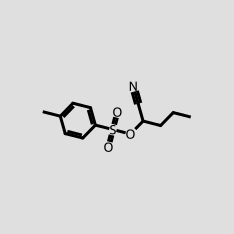 CCCC(C#N)OS(=O)(=O)c1ccc(C)cc1